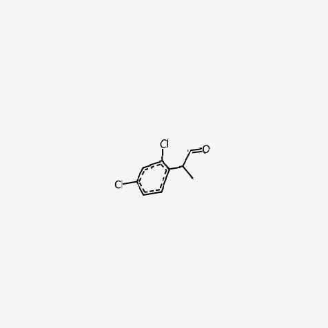 CC([C]=O)c1ccc(Cl)cc1Cl